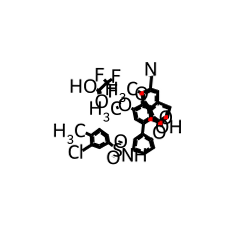 COc1cc(C(=O)O)c(-c2cc(NS(=O)(=O)c3ccc(C)c(Cl)c3)ccc2Oc2ccc3cc(C#N)ccc3c2)cc1OC.O=C(O)C(F)(F)F